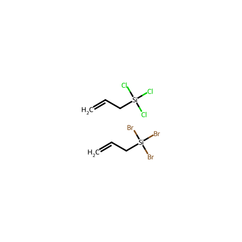 C=CC[Si](Br)(Br)Br.C=CC[Si](Cl)(Cl)Cl